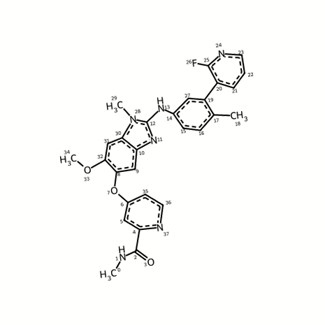 CNC(=O)c1cc(Oc2cc3nc(Nc4ccc(C)c(-c5cccnc5F)c4)n(C)c3cc2OC)ccn1